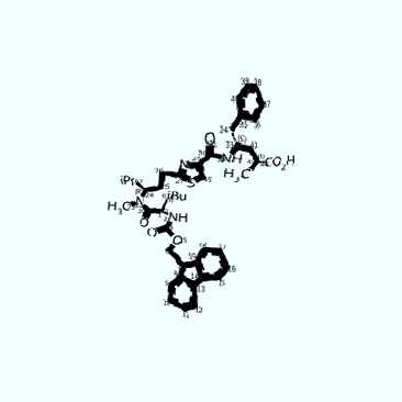 CC[C@H](C)[C@H](NC(=O)OCC1c2ccccc2-c2ccccc21)C(=O)N(C)[C@H](CCc1nc(C(=O)N[C@H](Cc2ccccc2)C[C@H](C)C(=O)O)cs1)C(C)C